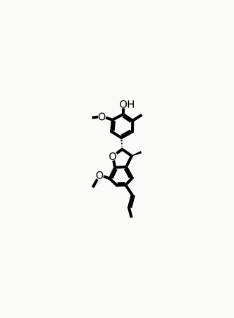 C/C=C/c1cc(OC)c2c(c1)[C@H](C)[C@@H](c1cc(C)c(O)c(OC)c1)O2